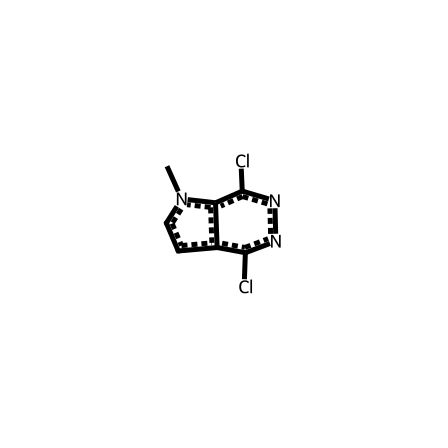 Cn1ccc2c(Cl)nnc(Cl)c21